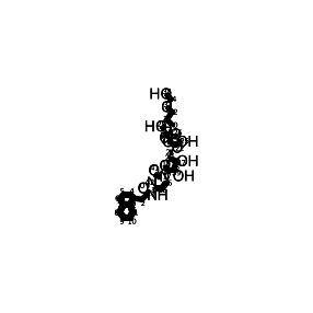 O=C(Cc1cccc2ccccc12)Nc1ccn([C@@H]2O[C@H](COP(=O)(O)OP(=O)(O)CCCOCO)C(O)[C@@H]2O)c(=O)n1